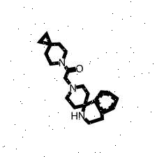 O=C(CN1CCC2(CC1)NCCc1ccccc12)N1CCC2(CC1)CC2